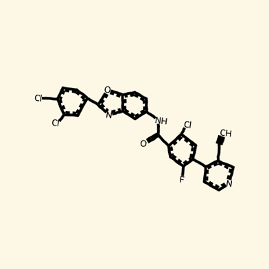 C#Cc1cnccc1-c1cc(Cl)c(C(=O)Nc2ccc3oc(-c4ccc(Cl)c(Cl)c4)nc3c2)cc1F